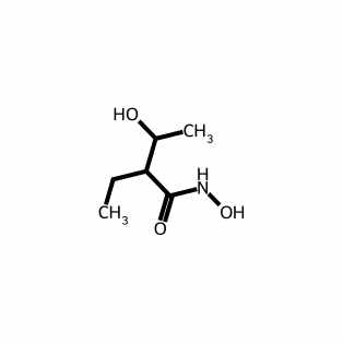 CCC(C(=O)NO)C(C)O